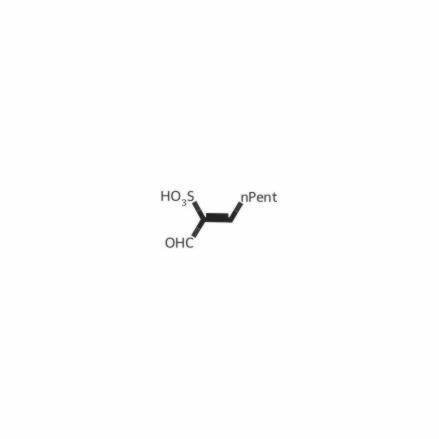 CCCCCC=C(C=O)S(=O)(=O)O